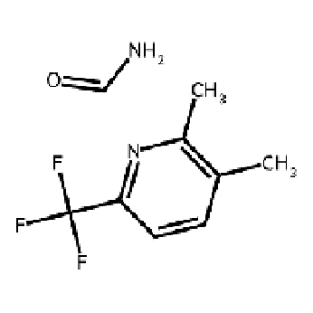 Cc1ccc(C(F)(F)F)nc1C.NC=O